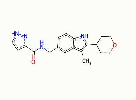 Cc1c(C2CCOCC2)[nH]c2ccc(CNC(=O)c3cc[nH]n3)cc12